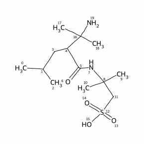 CC(C)CC(C(=O)NC(C)(C)CS(=O)(=O)O)C(C)(C)N